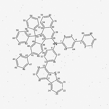 c1ccc(-c2ccc(N(c3ccc(-c4cccc5c4sc4ccccc45)cc3)c3cc4ccccc4c4c3-c3ccc(-c5ccccc5)cc3C4(c3ccccc3)c3ccccc3)cc2)cc1